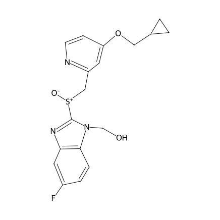 [O-][S+](Cc1cc(OCC2CC2)ccn1)c1nc2cc(F)ccc2n1CO